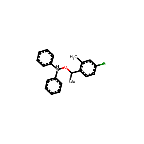 Cc1cc(Br)ccc1C(O[SiH](c1ccccc1)c1ccccc1)C(C)(C)C